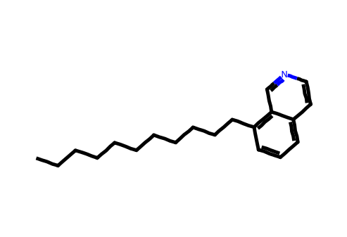 CCCCCCCCCCCc1cccc2ccncc12